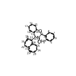 ON1C(c2ccccc2)Oc2ccccc2C1c1cccc2ccccc12